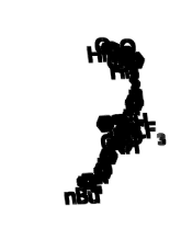 C=C(CCCC)C1=C(CN2CCN(c3ccc(C(=O)NS(=O)(=O)c4ccc(N[C@H](CCN5CCN(CCCCCNc6cccc7c6C(=O)N(C6CCC(=O)NC6=O)C7=O)CC5)CSc5ccccc5)c(S(=O)(=O)C(F)(F)F)c4)cc3)CC2)CCC(C)(C)C1